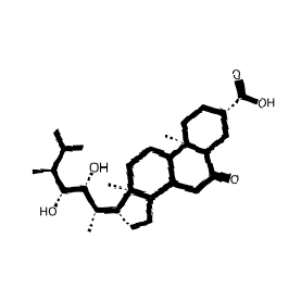 CC(C)[C@H](C)[C@@H](O)[C@H](O)[C@@H](C)[C@H]1CCC2C3CC(=O)C4C[C@@H](C(=O)O)CC[C@]4(C)C3CC[C@@]21C